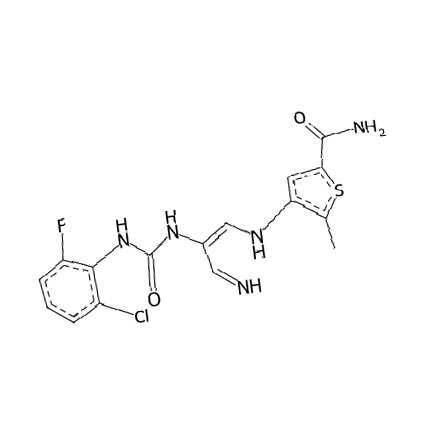 Cc1sc(C(N)=O)cc1N/C=C(\C=N)NC(=O)Nc1c(F)cccc1Cl